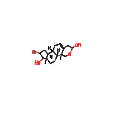 C[C@]12COC(O)CC1=CC[C@@H]1[C@H]2CC[C@]2(C)C(O)C(Br)C[C@@H]12